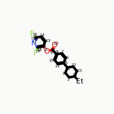 CCC1CCC(c2ccc(C(=O)Oc3ccc(F)nc3F)cc2)CC1